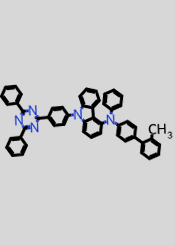 Cc1ccccc1-c1ccc(N(c2ccccc2)c2cccc3c2c2ccccc2n3-c2ccc(-c3nc(-c4ccccc4)nc(-c4ccccc4)n3)cc2)cc1